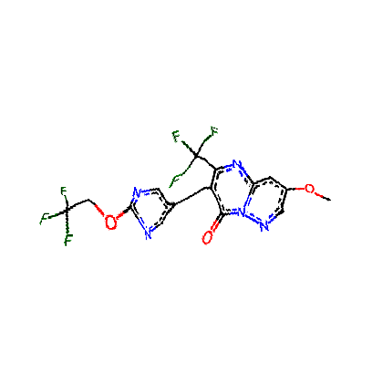 COc1cnn2c(=O)c(-c3cnc(OCC(F)(F)F)nc3)c(C(F)(F)F)nc2c1